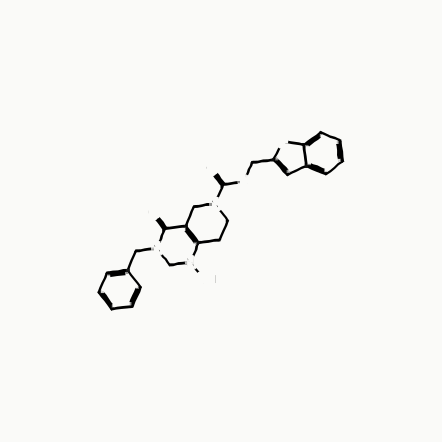 CN1CN(Cc2ccccc2)C(=O)C2=C1CCN(C(=O)OCc1cc3ccccc3s1)C2